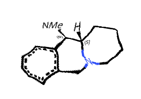 CN[C@@H]1c2ccccc2CN2CCCC[C@@H]12